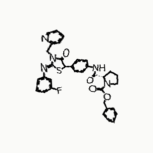 O=C(Nc1ccc(C2S/C(=N\c3cccc(F)c3)N(Cc3ccccn3)C2=O)cc1)[C@@H]1CCCN1C(=O)OCc1ccccc1